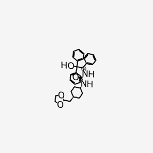 O=C(N[C@@H](c1ccccc1)C(O)(c1ccccc1)c1ccccc1)N[C@H]1CC[C@H](CC2OCCO2)CC1